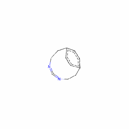 C1=NCCc2ccc(cc2)CCN=1